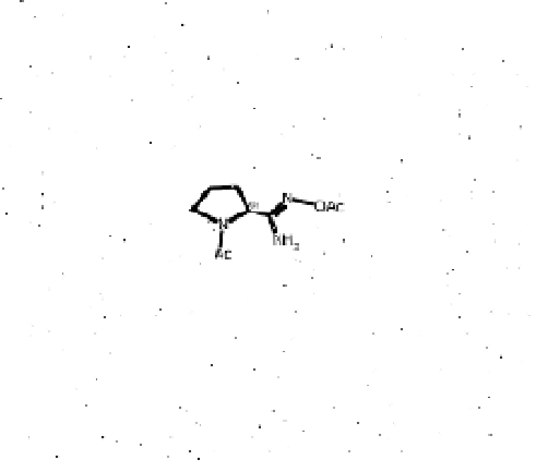 CC(=O)ON=C(N)[C@@H]1CCCN1C(C)=O